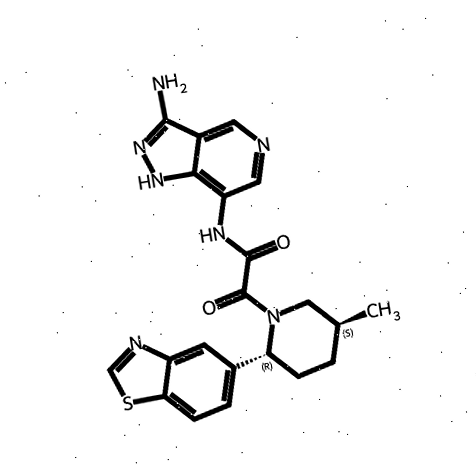 C[C@H]1CC[C@H](c2ccc3scnc3c2)N(C(=O)C(=O)Nc2cncc3c(N)n[nH]c23)C1